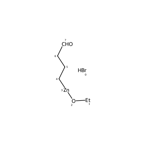 Br.CC[O][Zn][CH2]CCC=O